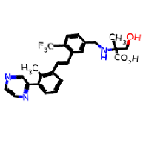 Cc1c(C=Cc2cc(CNC(C)(CO)C(=O)O)ccc2C(F)(F)F)cccc1-c1cnccn1